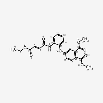 CCOC(=O)/C=C/C(=O)Nc1ccccc1Oc1ccc(C(=O)OC)c(C(=O)OC)c1